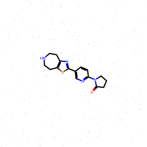 O=C1CCCN1c1ccc(-c2nc3c(s2)CCNCC3)cn1